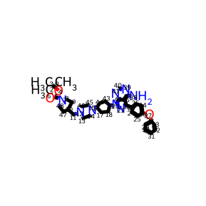 CC(C)(C)OC(=O)N1CCC(CN2CCN(C3CCC(n4nc(-c5ccc(Oc6ccccc6)cc5)c5c(N)ncnc54)CC3)CC2)CC1